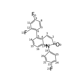 O=c1ccc2c(-c3ccc(F)cc3F)cccc2n1-c1ccc(F)cc1